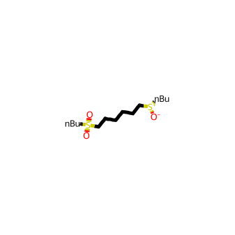 CCCC[S+]([O-])CCCCCCS(=O)(=O)CCCC